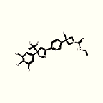 CCNC(=O)N1CC(F)(c2ccc(C3=NOC(c4cc(Cl)c(Cl)c(Cl)c4)(C(F)(F)F)C3)cc2)C1